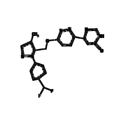 Cc1cnn(-c2ccc(C(F)F)cc2)c1COc1ccc(-c2cc(=O)[nH]cn2)nn1